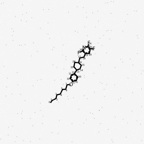 CCCCCCCCOc1ccc(C2CCC(CCc3cc(F)c(F)nc3F)CC2)cc1